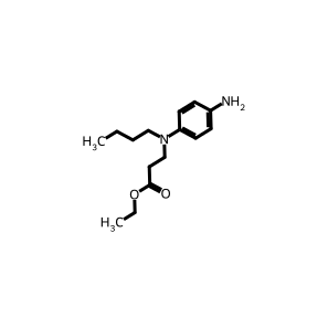 CCCCN(CCC(=O)OCC)c1ccc(N)cc1